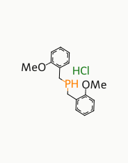 COc1ccccc1CPCc1ccccc1OC.Cl